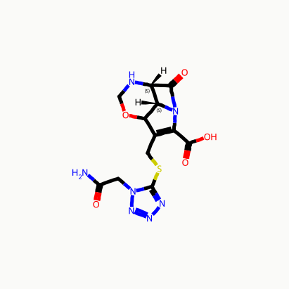 NC(=O)Cn1nnnc1SCC1=C(C(=O)O)N2C(=O)[C@H]3NCOC1[C@H]32